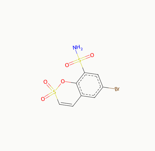 NS(=O)(=O)c1cc(Br)cc2c1OS(=O)(=O)C=C2